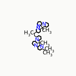 CC(C)c1cccc(C(C)(c2ccccn2)c2cccc(CC(C)c3ccc(C(C)(c4ccccn4)c4ccccn4)nc3)n2)n1